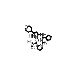 CCN(CC)C(=O)[C@@H]1CCCN1c1nc2c(c(Nc3cc(C4CCOCC4)[nH]n3)n1)CCC2